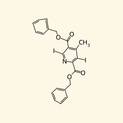 Cc1c(I)c(C(=O)OCc2ccccc2)nc(I)c1C(=O)OCc1ccccc1